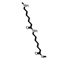 CNCCCCCCC(=O)NCCCCCCC(=O)N(C)C